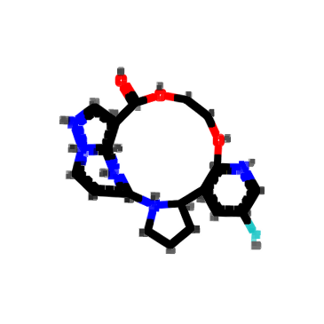 O=C1OCCOc2ncc(F)cc2C2CCCN2c2ccn3ncc1c3n2